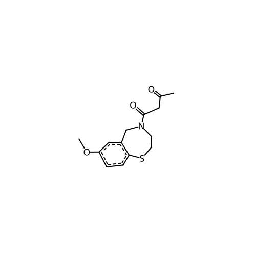 COc1ccc2c(c1)CN(C(=O)CC(C)=O)CCS2